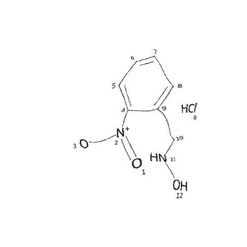 Cl.O=[N+]([O-])c1ccccc1CNO